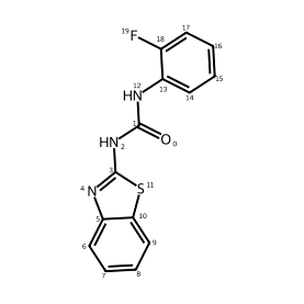 O=C(Nc1nc2ccccc2s1)Nc1ccccc1F